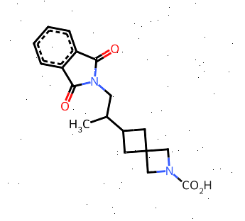 CC(CN1C(=O)c2ccccc2C1=O)C1CC2(C1)CN(C(=O)O)C2